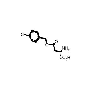 N[C@@H](CC(=O)OCc1ccc(Cl)cc1)C(=O)O